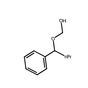 CCC[C](OCO)c1ccccc1